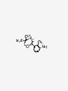 Cc1c([NH])cccc1B1OCC(C)(C)CO1